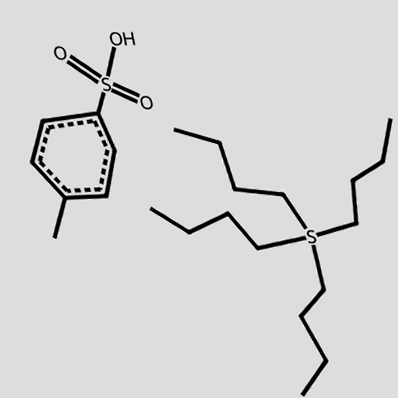 CCCCS(CCCC)(CCCC)CCCC.Cc1ccc(S(=O)(=O)O)cc1